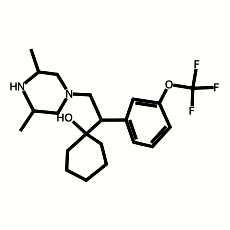 CC1CN(CC(c2cccc(OC(F)(F)F)c2)C2(O)CCCCC2)CC(C)N1